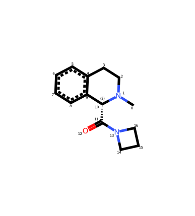 CN1CCc2ccccc2[C@H]1C(=O)N1CCC1